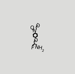 COCCN(C=O)c1ccc(OC/C(=C/F)CN)cc1